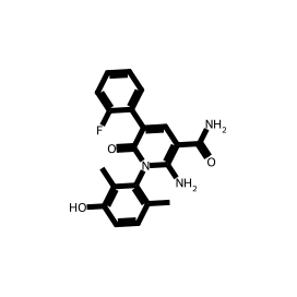 Cc1ccc(O)c(C)c1-n1c(N)c(C(N)=O)cc(-c2ccccc2F)c1=O